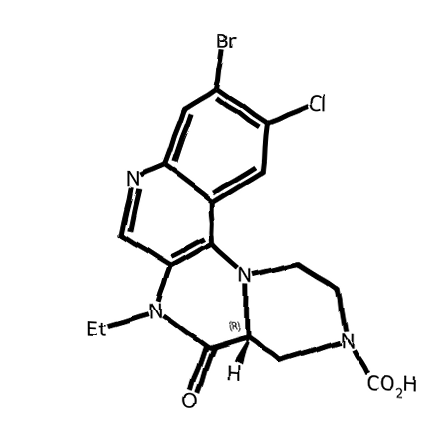 CCN1C(=O)[C@H]2CN(C(=O)O)CCN2c2c1cnc1cc(Br)c(Cl)cc21